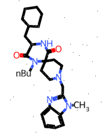 CCCCN1C(=O)C(CC2CCCCC2)NC(=O)C12CCN(Cc1nc3ccccc3n1C)CC2